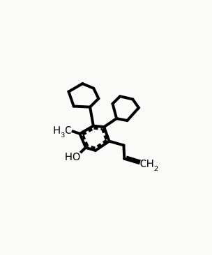 C=CCc1cc(O)c(C)c(C2CCCCC2)c1C1CCCCC1